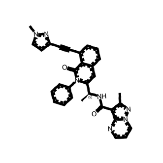 Cc1nn2cccnc2c1C(=O)N[C@@H](C)c1cc2cccc(C#Cc3ccn(C)n3)c2c(=O)n1-c1ccccc1